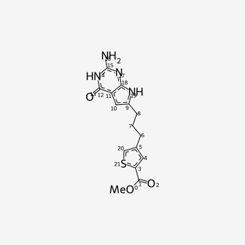 COC(=O)c1cc(CCCc2cc3c(=O)[nH]c(N)nc3[nH]2)cs1